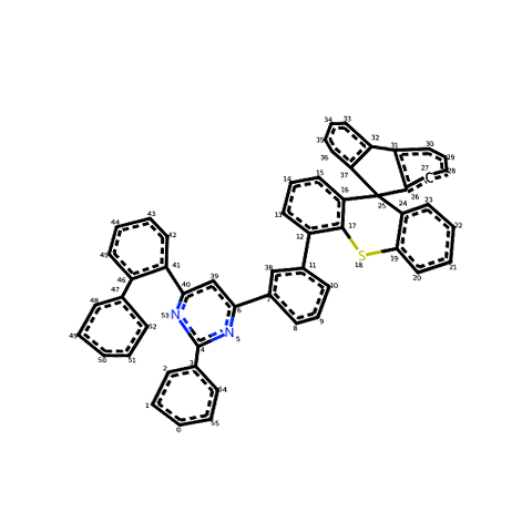 c1ccc(-c2nc(-c3cccc(-c4cccc5c4Sc4ccccc4C54c5ccccc5-c5ccccc54)c3)cc(-c3ccccc3-c3ccccc3)n2)cc1